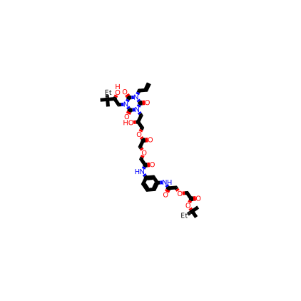 C=CCn1c(=O)n(CC(O)COC(=O)COCC(=O)Nc2cccc(NC(=O)COCC(=O)OC(C)(C)CC)c2)c(=O)n(CC(O)C(C)(C)CC)c1=O